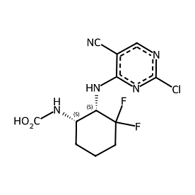 N#Cc1cnc(Cl)nc1N[C@H]1[C@@H](NC(=O)O)CCCC1(F)F